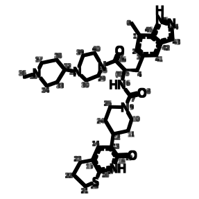 Cc1cc(C[C@@H](NC(=O)N2CCC(c3cc4c([nH]c3=O)SCCC4)CC2)C(=O)N2CCN(C3CCN(C)CC3)CC2)cc2cn[nH]c12